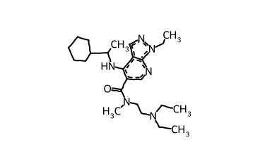 CCN(CC)CCN(C)C(=O)c1cnc2c(cnn2CC)c1NC(C)C1CCCCC1